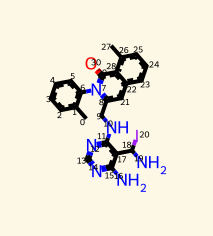 Cc1ccccc1-n1c(CNc2ncnc(N)c2C(N)I)cc2cccc(C)c2c1=O